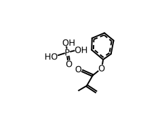 C=C(C)C(=O)Oc1ccccc1.O=P(O)(O)O